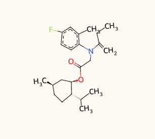 C=C(CC)N(CC(=O)O[C@@H]1C[C@H](C)CC[C@H]1C(C)C)c1ccc(F)cc1C